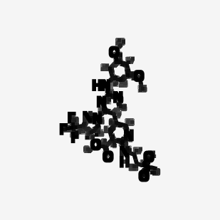 COC(=O)c1cc(-c2cnc(Nc3cc(OC)cc(OC)c3)nc2-n2ccc(C(F)(F)F)n2)cnc1NCCS(C)(=O)=O